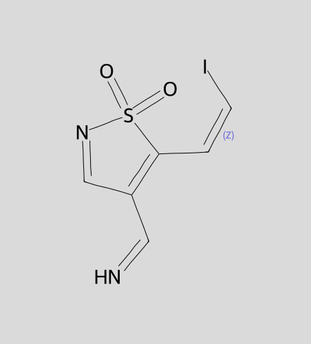 N=CC1=C(/C=C\I)S(=O)(=O)N=C1